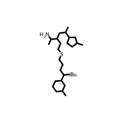 CCC(C)C(CCCSCCC(CC(C)C1CCC(C)C1)C(C)N)C1CCCC(C)C1